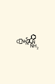 Nc1nc2ccccc2c2sc(N3CCOCC3)nc12